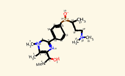 CNC(O)C1=C(C)N(C)CC(c2ccc([S+]([O-])C(C)CCN(C)C)cc2)=N1